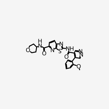 COc1ccccc1-c1cnncc1C(=O)Nc1nc2ccc(C(=O)NC3CCOCC3)nc2s1